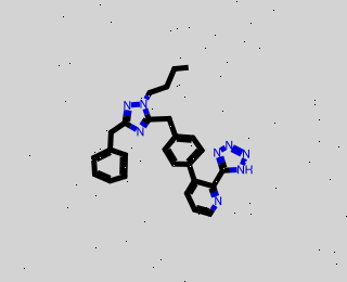 CCCCn1nc(Cc2ccccc2)nc1Cc1ccc(-c2cccnc2-c2nnn[nH]2)cc1